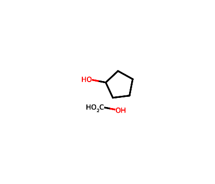 O=C(O)O.OC1CCCC1